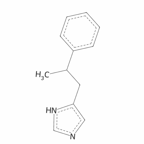 CC(Cc1cnc[nH]1)c1ccccc1